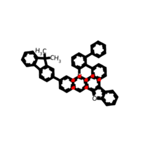 CC1(C)c2ccccc2-c2ccc(-c3cccc(N(c4ccc5c(c4)oc4ccccc45)c4cccc(-c5ccccc5)c4-c4ccccc4-c4ccccc4)c3)cc21